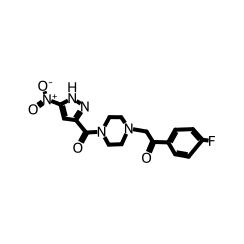 O=C(CN1CCN(C(=O)c2cc([N+](=O)[O-])[nH]n2)CC1)c1ccc(F)cc1